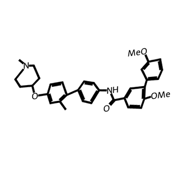 COc1cccc(-c2cc(C(=O)Nc3ccc(-c4ccc(OC5CCN(C)CC5)cc4C)cc3)ccc2OC)c1